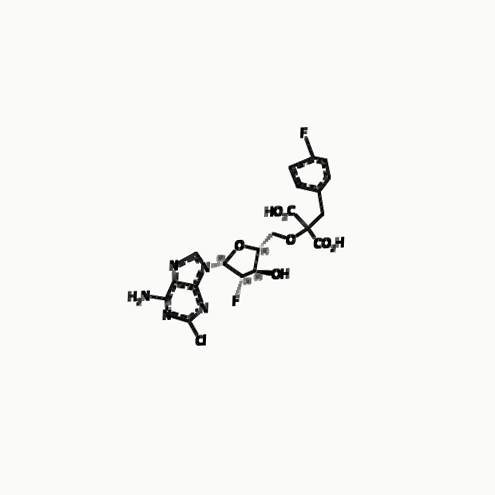 Nc1nc(Cl)nc2c1ncn2[C@@H]1O[C@H](COC(Cc2ccc(F)cc2)(C(=O)O)C(=O)O)[C@@H](O)[C@@H]1F